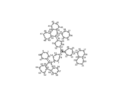 c1ccc(-c2c(-c3ccc(N(c4ccc(-c5cccc6ccccc56)cc4)c4ccc(-c5c(-c6ccccc6)c6ccccc6c6ccccc56)cc4)cc3)c3ccccc3c3ccccc23)cc1